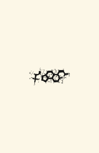 CC(C(=O)[C@H]1CC[C@H]2[C@@H]3CC[C@H]4NC(=O)C=C[C@]4(C)[C@H]3CC[C@]12C)C(F)(F)F